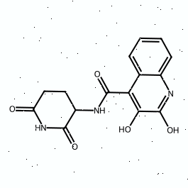 O=C1CCC(NC(=O)c2c(O)c(O)nc3ccccc23)C(=O)N1